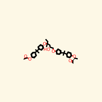 CCC(C)(CC(O)COc1ccc(C(C)(C)c2ccc(OC(C)[C@H]3CO3)cc2)cc1)Oc1ccc(C(C)(C)c2ccc(OC3CO3)cc2)cc1